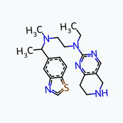 CCN(CCN(C)C(C)c1ccc2scnc2c1)c1ncc2c(n1)CCNC2